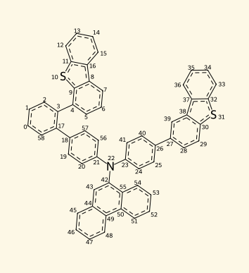 c1ccc(-c2cccc3c2sc2ccccc23)c(-c2ccc(N(c3ccc(-c4ccc5sc6ccccc6c5c4)cc3)c3cc4ccccc4c4ccccc34)cc2)c1